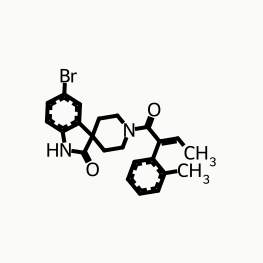 C/C=C(/C(=O)N1CCC2(CC1)C(=O)Nc1ccc(Br)cc12)c1ccccc1C